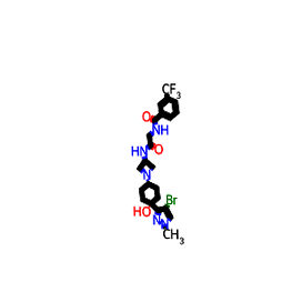 Cn1cc(Br)c([C@]2(O)CC[C@H](N3CC(NC(=O)CNC(=O)c4cccc(C(F)(F)F)c4)C3)CC2)n1